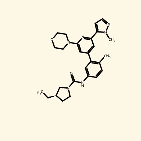 CC[C@@H]1CCN(C(=O)Nc2ccc(C)c(-c3cc(-c4ccnn4C)nc(N4CCOCC4)c3)c2)C1